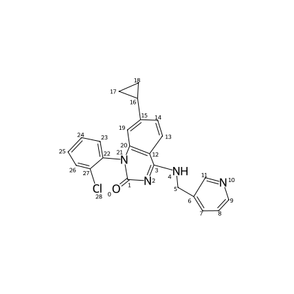 O=c1nc(NCc2cccnc2)c2ccc(C3CC3)cc2n1-c1ccccc1Cl